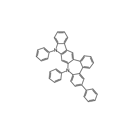 c1ccc(-c2ccc3c(c2)-c2ccccc2-c2cc4c5ccccc5n(-c5ccccc5)c4cc2N3c2ccccc2)cc1